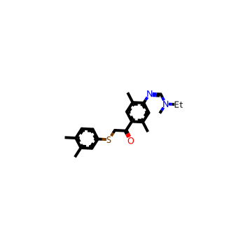 CCN(C)/C=N\c1cc(C)c(C(=O)CSc2ccc(C)c(C)c2)cc1C